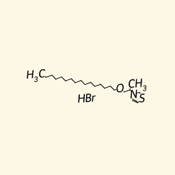 Br.CCCCCCCCCCCCCCCCOCC(C)N1C=CSC1